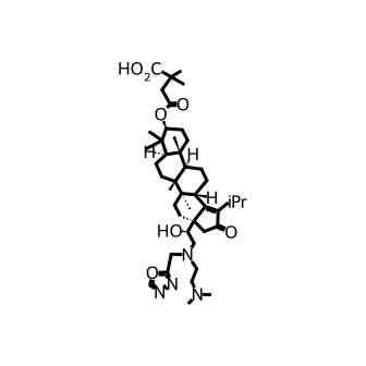 CC(C)C1=C2[C@H]3CC[C@@H]4[C@@]5(C)CC[C@H](OC(=O)CC(C)(C)C(=O)O)C(C)(C)[C@@H]5CC[C@@]4(C)[C@]3(C)CC[C@@]2([C@@H](O)CN(CCN(C)C)Cc2nnco2)CC1=O